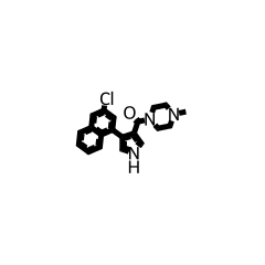 CN1CCN(C(=O)c2c[nH]cc2-c2cc(Cl)cc3ccccc23)CC1